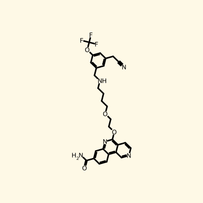 N#CCc1cc(CNCCCCOCCOc2nc3cc(C(N)=O)ccc3c3cnccc23)cc(OC(F)(F)F)c1